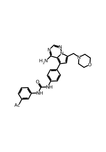 CC(=O)c1cccc(NC(=O)Nc2ccc(-c3cc(CN4CCOCC4)n4ncnc(N)c34)cc2)c1